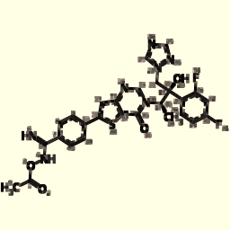 CC(=O)ONC(=N)c1ccc(-c2cc3ncn([C@H](C)[C@](O)(Cn4cncn4)c4ccc(F)cc4F)c(=O)c3s2)cc1